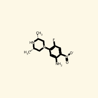 C[C@@H]1CN(c2cc(N)c([N+](=O)[O-])cc2F)C[C@H](C)N1